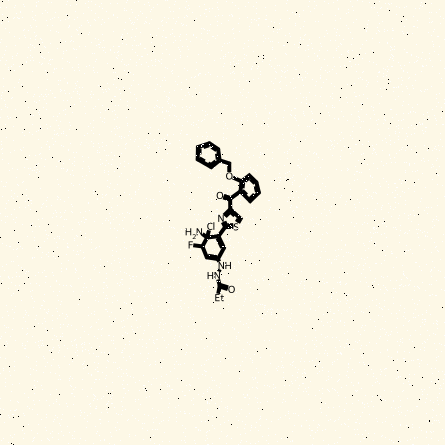 CCC(=O)NNC1=CC(F)C(N)(Cl)C(c2nc(C(=O)c3ccccc3OCc3ccccc3)cs2)=C1